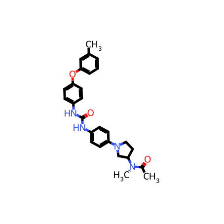 CC(=O)N(C)C1CCN(c2ccc(NC(=O)Nc3ccc(Oc4cccc(C)c4)cc3)cc2)C1